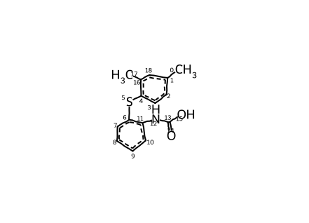 Cc1ccc(Sc2ccccc2NC(=O)O)c(C)c1